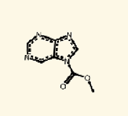 COC(=O)n1cnc2ncncc21